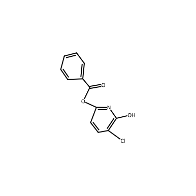 O=C(Oc1ccc(Cl)c(O)n1)c1ccccc1